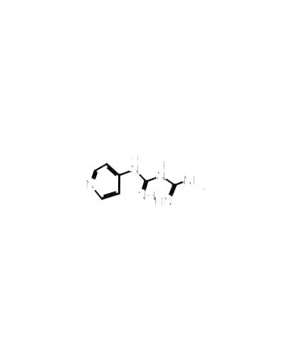 N=C(N)NC(=N)Nc1ccncc1